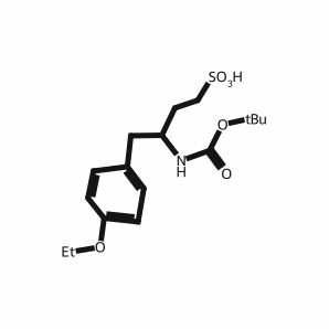 CCOc1ccc(CC(CCS(=O)(=O)O)NC(=O)OC(C)(C)C)cc1